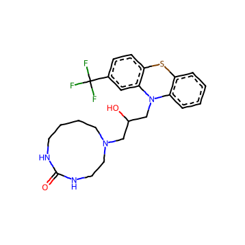 O=C1NCCCCN(CC(O)CN2c3ccccc3Sc3ccc(C(F)(F)F)cc32)CCN1